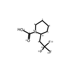 O=C(O)N1CCCCC1CC(F)(F)F